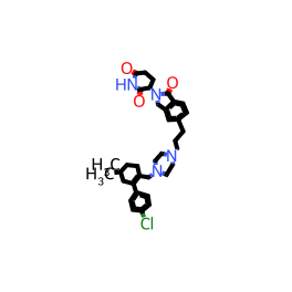 CC1(C)CCC(CN2CCN(CCCc3ccc4c(c3)CN(C3CCC(=O)NC3=O)C4=O)CC2)=C(c2ccc(Cl)cc2)C1